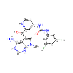 CC(C)n1cc(C(=O)c2cc(NC(=O)Nc3cc(F)cc(F)c3)ccn2)c2c(N)ncnc21